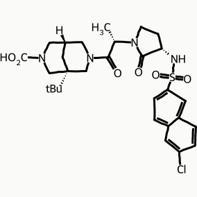 C[C@@H](C(=O)N1C[C@H]2CN(C(=O)O)C[C@@](C(C)(C)C)(C2)C1)N1CC[C@H](NS(=O)(=O)c2ccc3cc(Cl)ccc3c2)C1=O